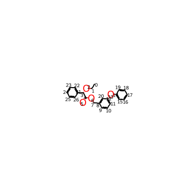 CCOC(C(=O)OCc1cccc(Oc2ccccc2)c1)c1ccccc1